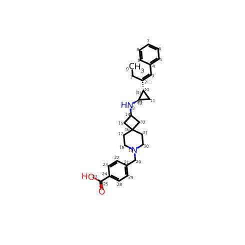 CC/C(=C\c1ccccc1)[C@@H]1C[C@H]1NC1CC2(CCN(Cc3ccc(C(=O)O)cc3)CC2)C1